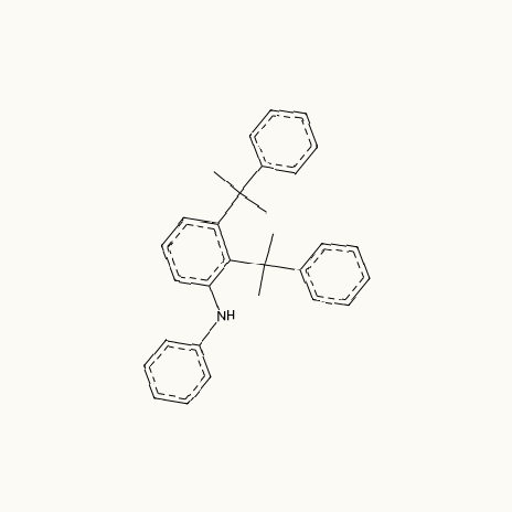 CC(C)(c1ccccc1)c1cccc(Nc2ccccc2)c1C(C)(C)c1ccccc1